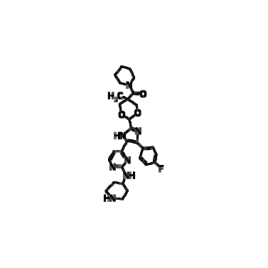 CC1(C(=O)N2CCCCC2)COC(c2nc(-c3ccc(F)cc3)c(-c3ccnc(NC4CCNCC4)n3)[nH]2)OC1